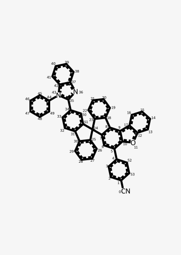 N#Cc1ccc(-c2cc3c(c4c2oc2ccccc24)-c2ccccc2C32c3ccccc3-c3ccc(-c4nc5ccccc5n4-c4ccccc4)cc32)cc1